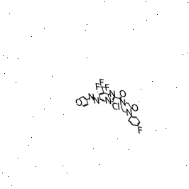 O=C(c1nc2c(C(F)(F)F)cc(N=NC3=CCOC=C3)cn2c1Cl)N1CCN(c2ccc(F)cc2)C(=O)C1